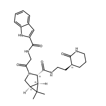 CC1(C)[C@@H]2[C@@H](C(=O)NCC[C@@H]3CCCNC3=O)N(C(=O)CNC(=O)c3cc4ccccc4[nH]3)C[C@@H]21